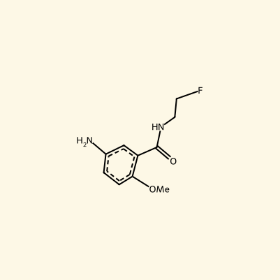 COc1ccc(N)cc1C(=O)NCCF